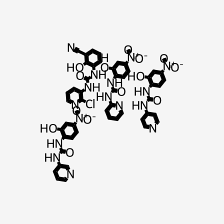 N#Cc1cccc(NC(=O)Nc2cccnc2Cl)c1O.O=C(Nc1ccccn1)Nc1ccc([N+](=O)[O-])cc1O.O=C(Nc1cccnc1)Nc1ccc([N+](=O)[O-])cc1O.O=C(Nc1ccncc1)Nc1ccc([N+](=O)[O-])cc1O